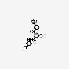 O=C(Nc1ccc(Cl)cc1)C1CC(O)CN(C(=O)c2cccc(-c3ccco3)c2)C1